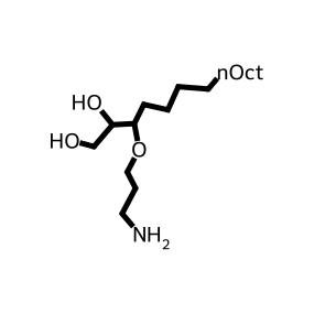 CCCCCCCCCCCCC(OCCCN)C(O)CO